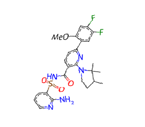 COc1cc(F)c(F)cc1-c1ccc(C(=O)NS(=O)(=O)c2cccnc2N)c(N2CCC(C)C2(C)C)n1